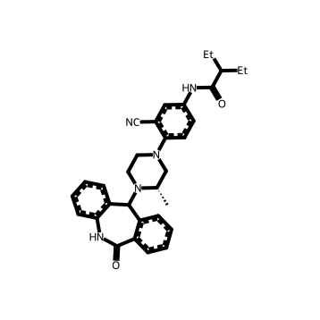 CCC(CC)C(=O)Nc1ccc(N2CCN(C3c4ccccc4NC(=O)c4ccccc43)[C@@H](C)C2)c(C#N)c1